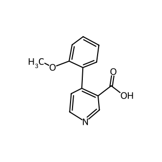 COc1ccccc1-c1ccncc1C(=O)O